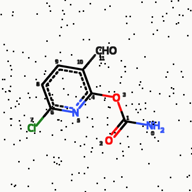 NC(=O)Oc1nc(Cl)ccc1C=O